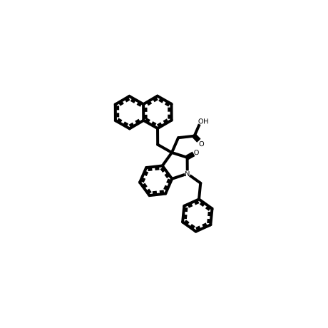 O=C(O)CC1(Cc2cccc3ccccc23)C(=O)N(Cc2ccccc2)c2ccccc21